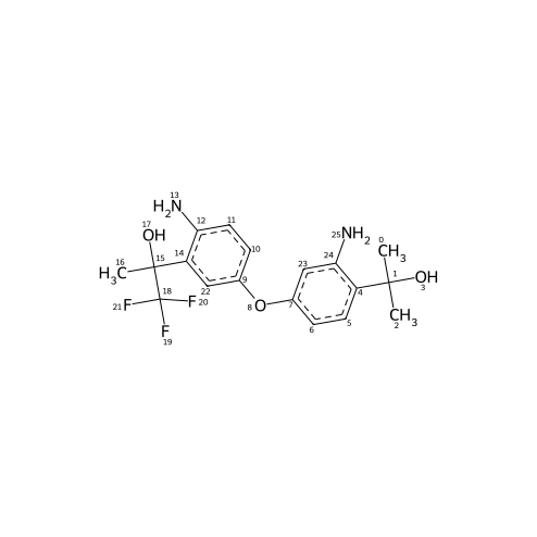 CC(C)(O)c1ccc(Oc2ccc(N)c(C(C)(O)C(F)(F)F)c2)cc1N